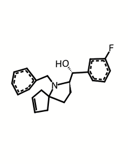 O[C@H](c1cccc(F)c1)[C@H]1CCC2(CC=CC2)N1Cc1ccccc1